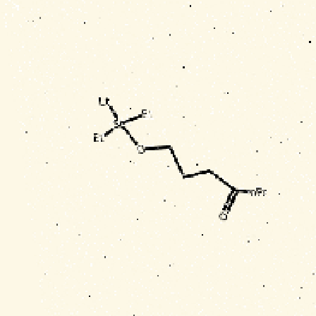 CCCC(=O)CCCO[Si](CC)(CC)CC